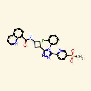 CS(=O)(=O)c1ccc(-c2nnc(C3CC(NC(=O)c4cccc5cccnc45)C3)n2-c2ccccc2F)nc1